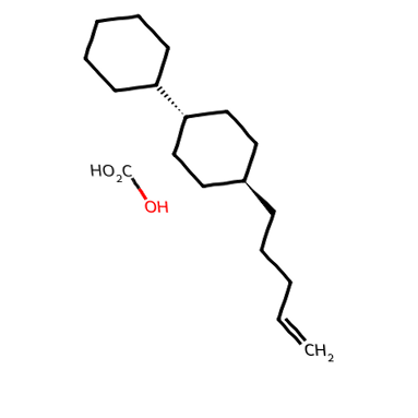 C=CCCC[C@H]1CC[C@H](C2CCCCC2)CC1.O=C(O)O